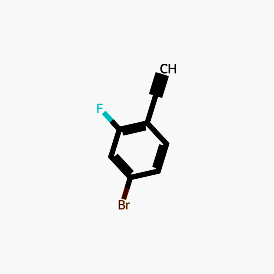 C#Cc1ccc(Br)cc1F